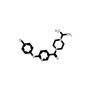 CC(C)N1CCN(C(=O)c2ccc(Oc3ccc(Cl)cc3)nc2)CC1